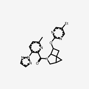 CCc1cnc(OC2CC34CC3CN(C(=O)c3nc(C)ccc3-n3nccn3)C24)nc1